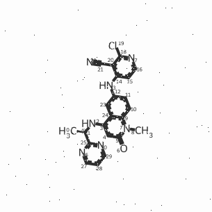 C[C@@H](Nc1cc(=O)n(C)c2ccc(Nc3ccnc(Cl)c3C#N)cc12)c1ncccn1